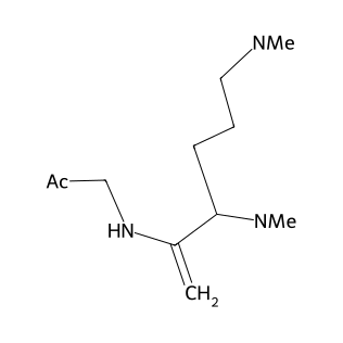 C=C(NCC(C)=O)C(CCCNC)NC